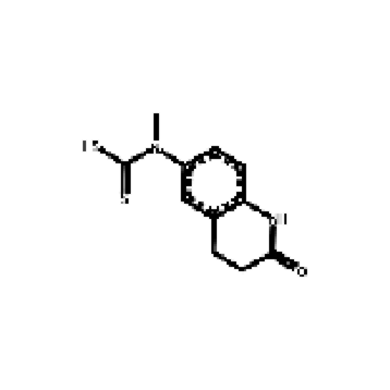 CN(C(=S)S)c1ccc2c(c1)CCC(=O)N2